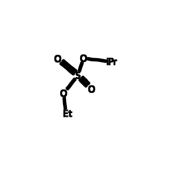 CCOS(=O)(=O)OC(C)C